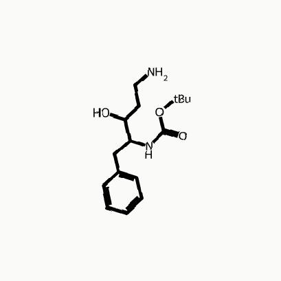 CC(C)(C)OC(=O)NC(Cc1ccccc1)C(O)CCN